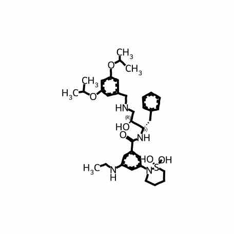 CCNc1cc(C(=O)N[C@@H](Cc2ccccc2)[C@H](O)CNCc2cc(OC(C)C)cc(OC(C)C)c2)cc(N2CCCCS2(O)O)c1